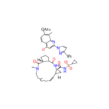 COc1ccc2c(O[C@@H]3CC4C(=O)N[C@]5(C(=O)NS(=O)(=O)C6CC6)C[C@H]5/C=C\CCCCN(C)C(=O)[C@@H]4C3)cc(-n3ccc(C(C)C)n3)nc2c1C